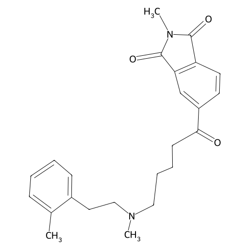 Cc1ccccc1CCN(C)CCCCC(=O)c1ccc2c(c1)C(=O)N(C)C2=O